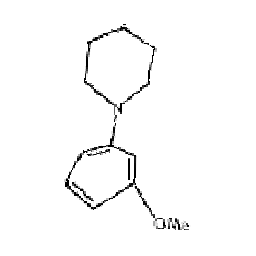 COc1cccc(N2CC[CH]CC2)c1